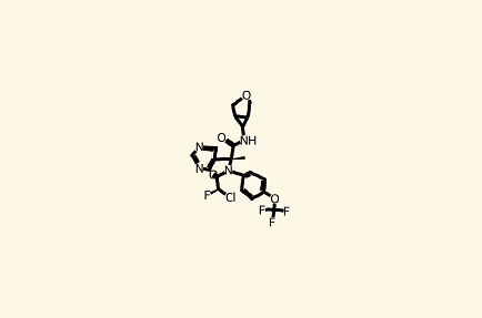 C[C@](C(=O)NC1C2COCC21)(c1cncnc1)N(C(=O)[C@H](F)Cl)c1ccc(OC(F)(F)F)cc1